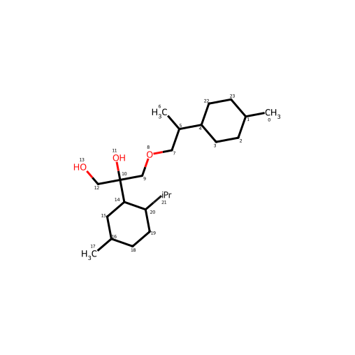 CC1CCC(C(C)COCC(O)(CO)C2CC(C)CCC2C(C)C)CC1